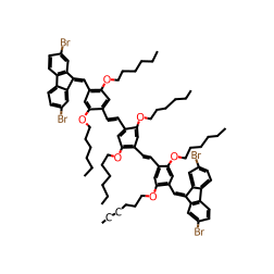 CCCCCCOc1cc(/C=C/c2cc(OCCCCCC)c(/C=C/c3cc(OCCCCCC)c(C=C4c5cc(Br)ccc5-c5ccc(Br)cc54)cc3OCCCCCC)cc2OCCCCCC)c(OCCCCCC)cc1C=C1c2cc(Br)ccc2-c2ccc(Br)cc21